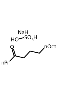 CCCCCCCCCCCC(=O)CCC.O=S(=O)(O)O.[NaH]